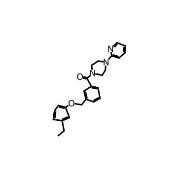 CCc1cccc(OCc2cccc(C(=O)N3CCN(c4ccccn4)CC3)c2)c1